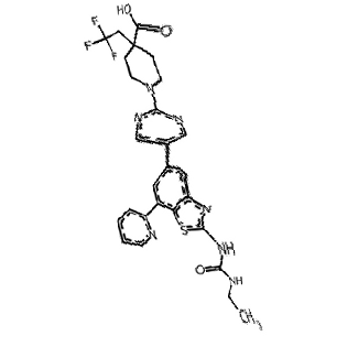 CCNC(=O)Nc1nc2cc(-c3cnc(N4CCC(CC(F)(F)F)(C(=O)O)CC4)nc3)cc(-c3ccccn3)c2s1